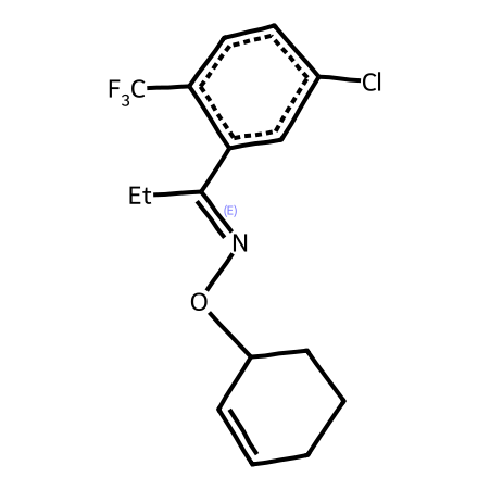 CC/C(=N\OC1C=CCCC1)c1cc(Cl)ccc1C(F)(F)F